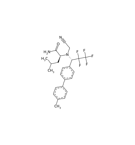 Cc1ccc(-c2ccc([C@H](N(CC#N)[C@@H](CC(C)C)C(N)=O)C(F)(F)C(F)(F)F)cc2)cc1